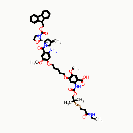 C=C1C[C@@H](C2OCCN2C(=O)OCC2c3ccccc3-c3ccccc32)N(C(=O)c2cc(OC)c(OCCCCCOc3cc(NC(=O)OCC(C)(C)SSCCC(=O)NCC)c(C(=O)O)cc3OC)cc2N)C1